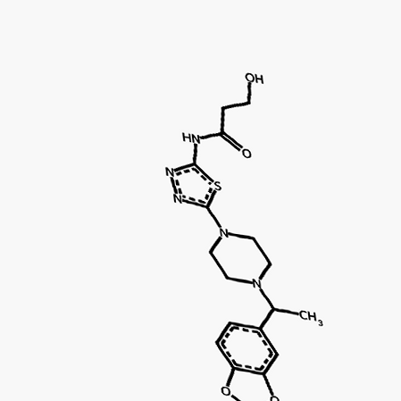 CC(c1ccc2c(c1)OCO2)N1CCN(c2nnc(NC(=O)CCO)s2)CC1